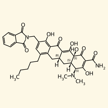 CCCCCc1cc(CN2C(=O)c3ccccc3C2=O)c(O)c2c1C[C@H]1C[C@H]3[C@H](N(C)C)C(O)=C(C(N)=O)C(=O)[C@@]3(O)C(O)=C1C2=O